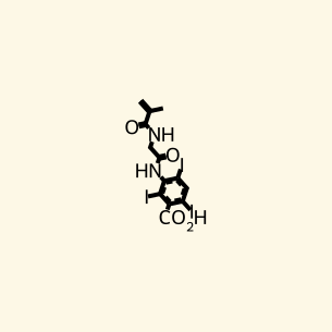 C=C(C)C(=O)NCC(=O)Nc1c(I)cc(I)c(C(=O)O)c1I